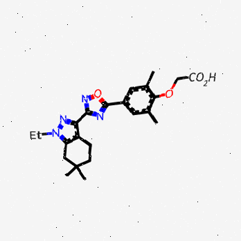 CCn1nc(-c2noc(-c3cc(C)c(OCC(=O)O)c(C)c3)n2)c2c1CC(C)(C)CC2